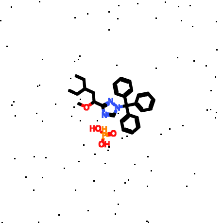 CCC(CC)CC(OC)c1ncn(C(c2ccccc2)(c2ccccc2)c2ccccc2)n1.O=[PH](O)O